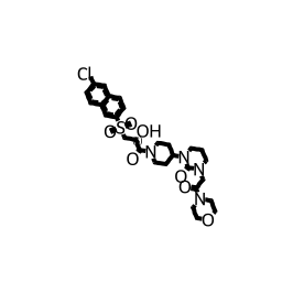 O=C(CN1CCCN(C2CCN(C(=O)[C@H](O)CS(=O)(=O)c3ccc4cc(Cl)ccc4c3)CC2)C1=O)N1CCOCC1